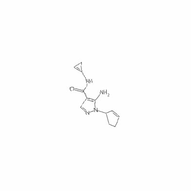 Nc1c(C(=O)NC2=CC2)cnn1C1C=CCC1